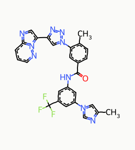 Cc1cn(-c2cc(NC(=O)c3ccc(C)c(-n4cc(-c5cnc6cccnn56)nn4)c3)cc(C(F)(F)F)c2)cn1